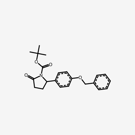 CC(C)(C)OC(=O)N1C(=O)CCC1c1ccc(OCc2ccccc2)cc1